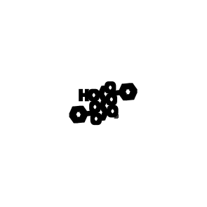 COC1COC(c2ccccc2)O[C@H]1[C@@H]1OC(c2ccccc2)OC[C@H]1O